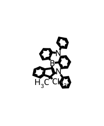 CC1(C)C2=C(B3c4ccccc4N(c4ccccc4)c4cccc(c43)N2c2ccccc2)c2ccccc21